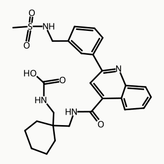 CS(=O)(=O)NCc1cccc(-c2cc(C(=O)NCC3(CNC(=O)O)CCCCC3)c3ccccc3n2)c1